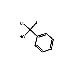 CCC(O)(I)c1ccccc1